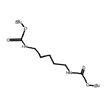 CC(C)(C)OC(=O)N[CH]CCCCNC(=O)OC(C)(C)C